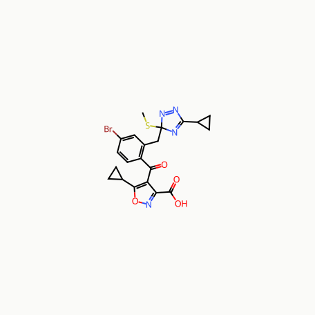 CSC1(Cc2cc(Br)ccc2C(=O)c2c(C(=O)O)noc2C2CC2)N=NC(C2CC2)=N1